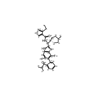 CCc1nocc1C(=O)N[C@H](c1nc2c(F)c(-c3ccccc3C(=O)N(C)C)c(F)cc2[nH]1)[C@H]1CC[C@H](C)CC1